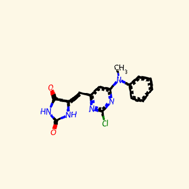 CN(c1ccccc1)c1cc(/C=C2\NC(=O)NC2=O)nc(Cl)n1